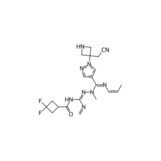 C=N/C(=N\N(C)/C(=N\C=C/C)c1cnn(C2(CC#N)CNC2)c1)NC(=O)C1CC(F)(F)C1